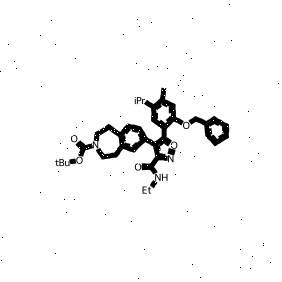 CCNC(=O)c1noc(-c2cc(C(C)C)c(C)cc2OCc2ccccc2)c1-c1ccc2c(c1)CCN(C(=O)OC(C)(C)C)CC2